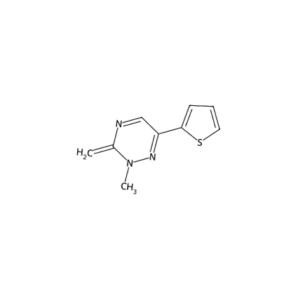 C=C1N=CC(c2cccs2)=NN1C